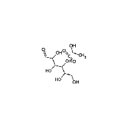 CCO.O=C=O.O=CC(O)C(O)C(O)C(O)CO